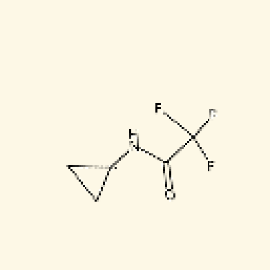 O=C(N[C]1CC1)C(F)(F)F